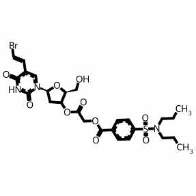 CCCN(CCC)S(=O)(=O)c1ccc(C(=O)OCC(=O)OC2C[C@@H](n3cc(/C=C/Br)c(=O)[nH]c3=O)O[C@H]2CO)cc1